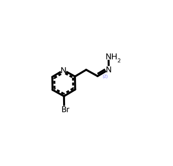 N/N=C\Cc1cc(Br)ccn1